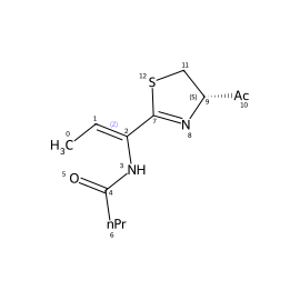 C/C=C(\NC(=O)CCC)C1=N[C@@H](C(C)=O)CS1